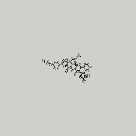 COc1ccc(C(=O)Cn2c(=O)c3cc(C4CC4)sc3n(Cc3c(F)cc(-c4ccccc4-c4noc(=O)[nH]4)cc3F)c2=O)cc1